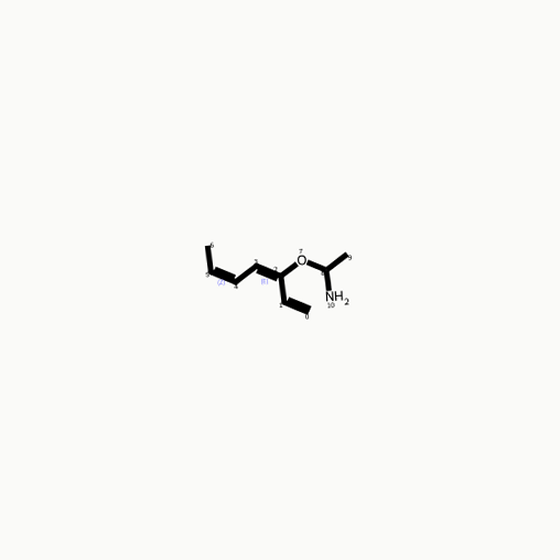 C=C/C(=C\C=C/C)OC(C)N